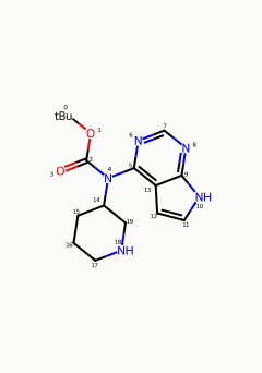 CC(C)(C)OC(=O)N(c1ncnc2[nH]ccc12)C1CCCNC1